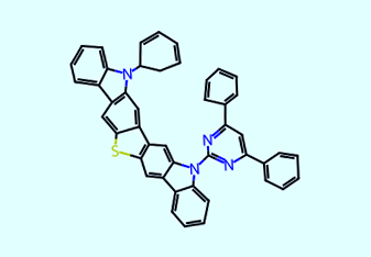 C1=CCC(n2c3ccccc3c3cc4sc5cc6c7ccccc7n(-c7nc(-c8ccccc8)cc(-c8ccccc8)n7)c6cc5c4cc32)C=C1